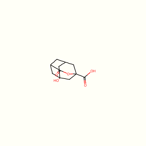 O=C1OC2(C(=O)O)CC3CC1CC(O)(C3)C2